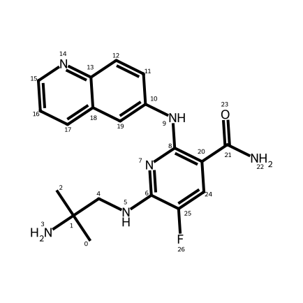 CC(C)(N)CNc1nc(Nc2ccc3ncccc3c2)c(C(N)=O)cc1F